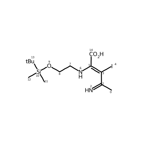 CC(=N)/C(I)=C(\NCCO[Si](C)(C)C(C)(C)C)C(=O)O